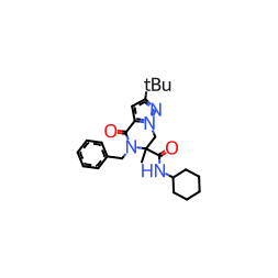 CC(C)(C)c1cc2n(n1)CC(C)(C(=O)NC1CCCCC1)N(Cc1ccccc1)C2=O